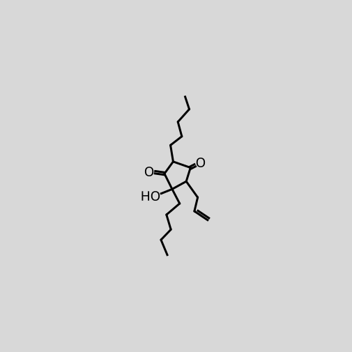 C=CCC1C(=O)C(CCCCC)C(=O)C1(O)CCCCC